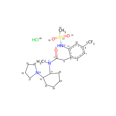 CN(C(=O)Cc1ccc(C(F)(F)F)cc1NS(C)(=O)=O)C1CCCCC1N1CCCC1.Cl